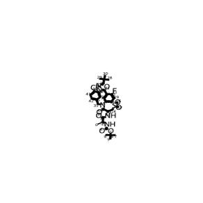 C[C@H](NC(=O)OC(C)(C)C)C(=O)N[C@H]1CS(=O)(=O)c2cc(F)c(-c3nnc(C(C)(C)C)o3)cc2N(Cc2ccc(Cl)cc2)C1=O